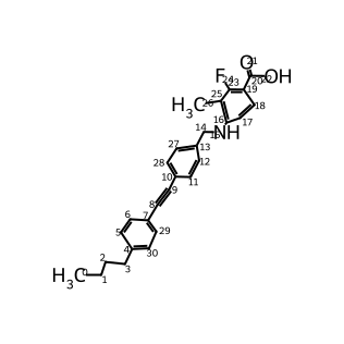 CCCCc1ccc(C#Cc2ccc(CNc3ccc(C(=O)O)c(F)c3C)cc2)cc1